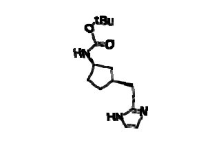 CC(C)(C)OC(=O)N[C@@H]1CC[C@H](Cc2ncc[nH]2)C1